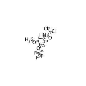 COc1cc(NC(=O)C(Cl)Cl)ccc1OCC(F)(F)F